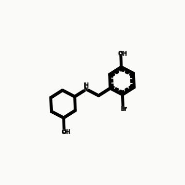 Oc1ccc(Br)c(CNC2CCCC(O)C2)c1